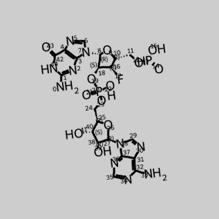 Nc1nc2c(ncn2[C@@H]2O[C@H](CO[PH](=O)O)[C@@H](F)[C@H]2OP(=O)(O)OC[C@H]2O[C@@H](n3cnc4c(N)ncnc43)[C@H](O)[C@@H]2O)c(=O)[nH]1